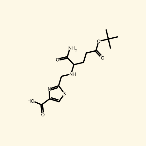 CC(C)(C)OC(=O)CCC(NCc1nc(C(=O)O)cs1)C(N)=O